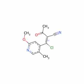 COc1cc(/C(Cl)=C(/C#N)C(C)=O)c(C)cn1